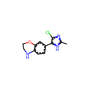 Cc1nc(Cl)c(-c2ccc3c(c2)OCCN3)[nH]1